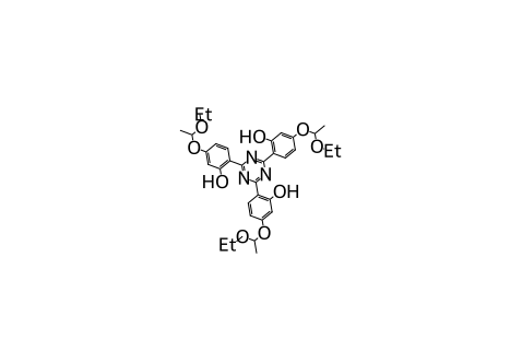 CCOC(C)Oc1ccc(-c2nc(-c3ccc(OC(C)OCC)cc3O)nc(-c3ccc(OC(C)OCC)cc3O)n2)c(O)c1